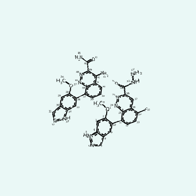 COc1cc2[nH]ncc2cc1-c1ccc(F)c2cc(C(=O)NN)nnc12.COc1cc2cn[nH]c2cc1-c1cccc2c(N)c(C(N)=O)nnc12